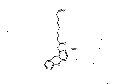 CCCCCCCCCCCCCCCCCC(=O)Oc1cccc2c1Cc1ccccc1O2.[NaH]